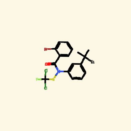 CCC(C)(C)c1cccc(N(SC(F)(Cl)Cl)C(=O)c2ccccc2Br)c1